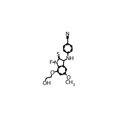 COc1cc(OCCO)c2c(c1)C(Nc1ccc(C#N)cc1)C(=S)N2F